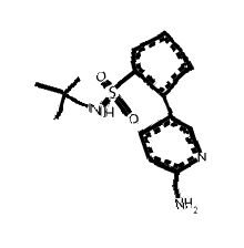 CC(C)(C)NS(=O)(=O)c1ccccc1-c1ccc(N)nc1